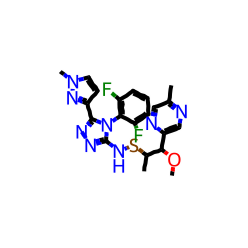 COC(c1cnc(C)cn1)C(C)SNc1nnc(-c2ccn(C)n2)n1-c1c(F)cccc1F